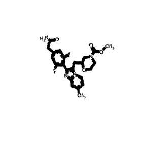 COC(=O)N1CCOC(Cc2c(-c3c(F)cc(CC(N)=O)cc3F)nc3cc(C)ccn23)C1